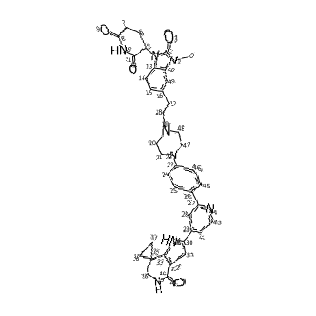 Cn1c(=O)n(C2CCC(=O)NC2=O)c2ccc(CCN3CCN(c4ccc(-c5cc(-c6cc7c([nH]6)C6(CC6)CNC7=O)ccn5)cc4)CC3)cc21